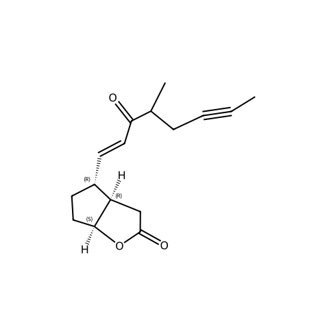 CC#CCC(C)C(=O)C=C[C@H]1CC[C@@H]2OC(=O)C[C@@H]21